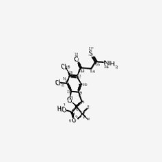 CC(C)(C)C1(C(=O)O)Cc2cc(C(=O)CC(N)=S)c(Cl)c(Cl)c2O1